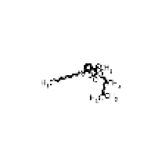 CCCCCCCCCCOc1cccc2c(OC)c(OCC=C(C)CCC=C(C)C)c(=O)oc12